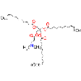 CCCCCCCC/C=C\CCCCCCCC(=O)OCC(COC(=O)CCCCCCC/C=C\CCCCCCCC)(COC(=O)CCCCCCC/C=C\CCCCCCCC)COC(=O)CCN(C)C